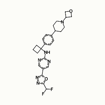 FC(F)c1nnc(-c2cnc(NC3(c4ccc(C5CCN(C6COC6)CC5)cc4)CCC3)nc2)o1